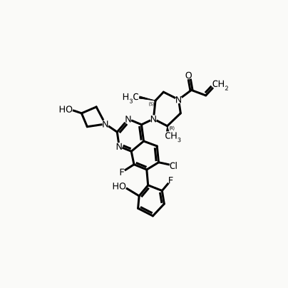 C=CC(=O)N1C[C@@H](C)N(c2nc(N3CC(O)C3)nc3c(F)c(-c4c(O)cccc4F)c(Cl)cc23)[C@@H](C)C1